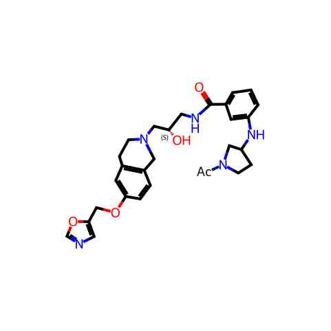 CC(=O)N1CCC(Nc2cccc(C(=O)NC[C@H](O)CN3CCc4cc(OCc5cnco5)ccc4C3)c2)C1